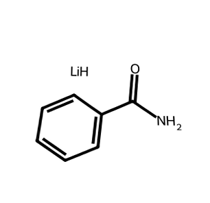 NC(=O)c1ccccc1.[LiH]